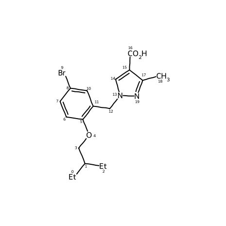 CCC(CC)COc1ccc(Br)cc1Cn1cc(C(=O)O)c(C)n1